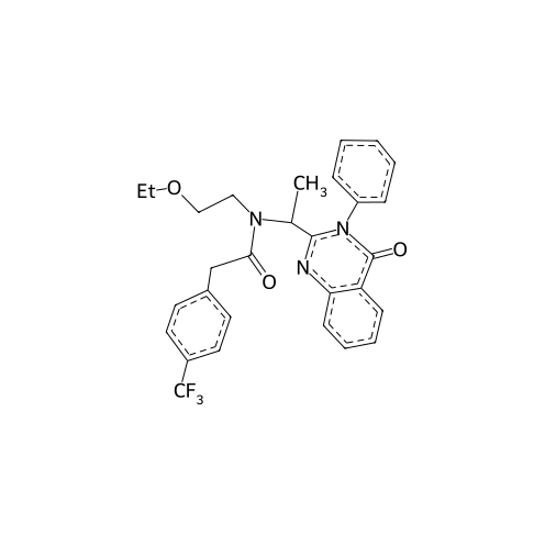 CCOCCN(C(=O)Cc1ccc(C(F)(F)F)cc1)C(C)c1nc2ccccc2c(=O)n1-c1ccccc1